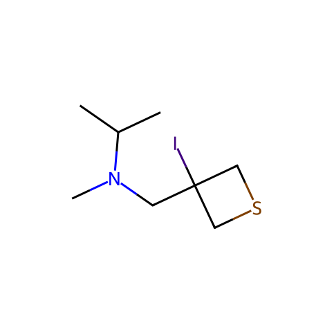 CC(C)N(C)CC1(I)CSC1